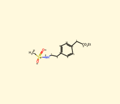 CCOC(=O)Cc1ccc(CCNS(C)(=O)=O)cc1